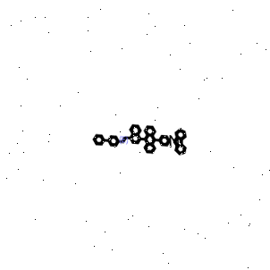 C(=C\c1ccc(-c2c3ccccc3c(-c3ccc(-n4c5ccccc5c5ccccc54)cc3)c3ccccc23)c2ccccc12)/c1ccc(-c2ccccc2)cc1